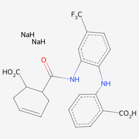 O=C(O)c1ccccc1Nc1ccc(C(F)(F)F)cc1NC(=O)C1CC=CCC1C(=O)O.[NaH].[NaH]